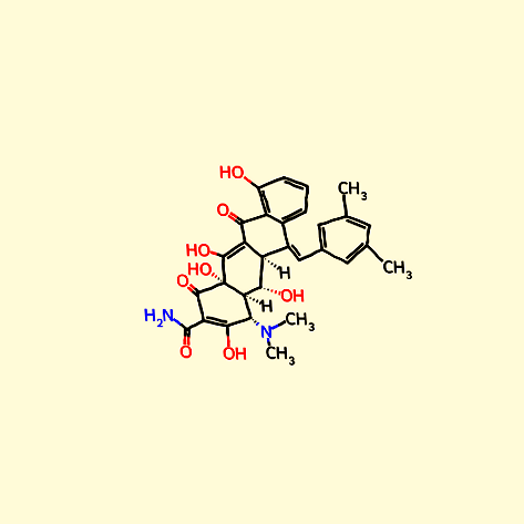 Cc1cc(C)cc(/C=C2\c3cccc(O)c3C(=O)C3=C(O)[C@]4(O)C(=O)C(C(N)=O)=C(O)[C@@H](N(C)C)[C@@H]4[C@@H](O)[C@@H]32)c1